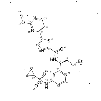 CCOC[C@H](NC(=O)c1ncc(-c2cncc(OCC)n2)s1)c1cc(NS(=O)(=O)C2CC2)ccn1